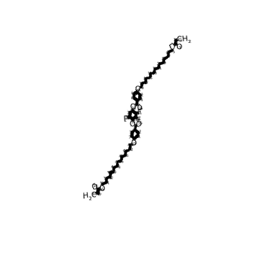 C=CC(=O)OCCCCCCCCCCCCCCCOc1ccc(C(=O)Oc2cc(F)c(OC(=O)c3ccc(OCCCCCCCCCCCCCCCOC(=O)C=C)cc3)c(F)c2F)cc1